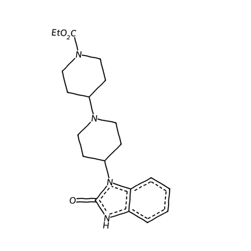 CCOC(=O)N1CCC(N2CCC(n3c(=O)[nH]c4ccccc43)CC2)CC1